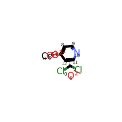 ClCCl.[Cr+6].[O-2].[O-2].[O-2].c1ccncc1